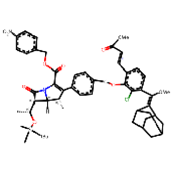 COC(=O)/C=C/c1ccc(C(OC)=C2C3CC4CC(C3)CC2C4)c(Cl)c1OCc1ccc(C2=C(C(=O)OCc3ccc([N+](=O)[O-])cc3)N3C(=O)[C@H]([C@@H](C)O[Si](C)(C)C(C)(C)C)[C@H]3[C@H]2C)cc1